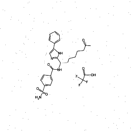 CC(=O)CCCCC[C@H](NC(=O)c1ccc(S(N)(=O)=O)cc1)c1ncc(-c2ccccc2)[nH]1.O=C(O)C(F)(F)F